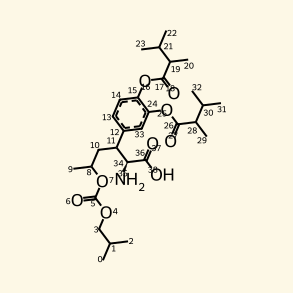 CC(C)COC(=O)OC(C)CC(c1ccc(OC(=O)C(C)C(C)C)c(OC(=O)C(C)C(C)C)c1)[C@H](N)C(=O)O